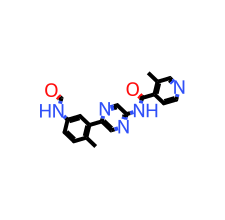 Cc1cnccc1C(=O)Nc1cnc(-c2cc(NC=O)ccc2C)cn1